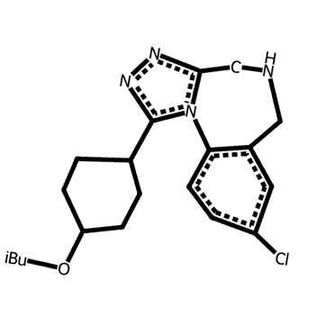 CCC(C)OC1CCC(c2nnc3n2-c2ccc(Cl)cc2CNC3)CC1